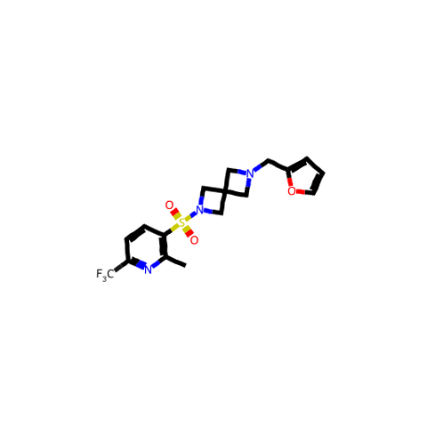 Cc1nc(C(F)(F)F)ccc1S(=O)(=O)N1CC2(CN(Cc3ccco3)C2)C1